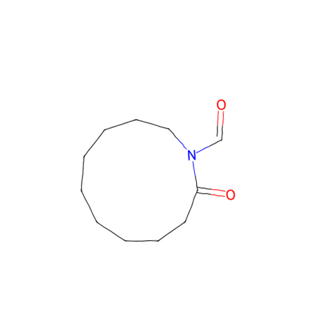 O=CN1CCCCCCCCCC1=O